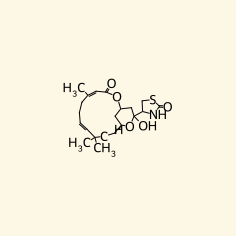 C/C1=C/C(=O)OC2C[C@@H](CCC(C)(C)/C=C\CC1)OC(O)(C1CSC(=O)N1)C2